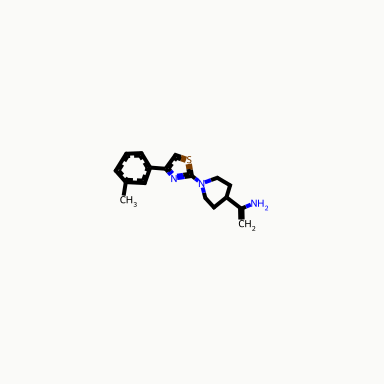 C=C(N)C1CCN(c2nc(-c3cccc(C)c3)cs2)CC1